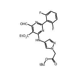 CCOC(=O)c1c(C=O)nc(-c2c(F)cccc2F)nc1Nc1cnn(CC(=O)OC(C)(C)C)c1